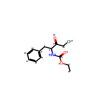 CCOC(=O)NC(Cc1ccccc1)C(=O)CCl